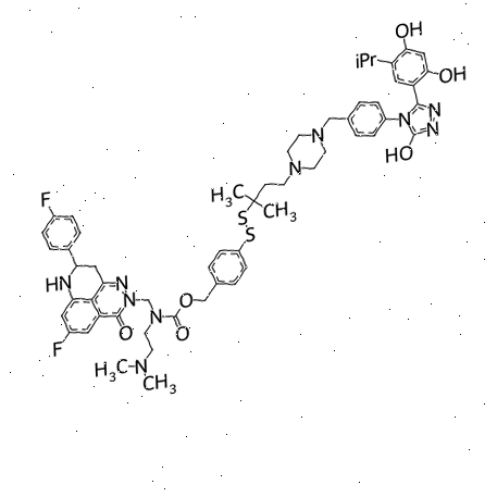 CC(C)c1cc(-c2nnc(O)n2-c2ccc(CN3CCN(CCC(C)(C)SSc4ccc(COC(=O)N(CCN(C)C)Cn5nc6c7c(cc(F)cc7c5=O)NC(c5ccc(F)cc5)C6)cc4)CC3)cc2)c(O)cc1O